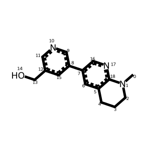 CN1CCCc2cc(-c3cncc(CO)c3)cnc21